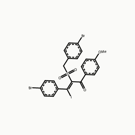 COc1ccc(C(=O)C(=C(I)c2ccc(Br)cc2)S(=O)(=O)Cc2ccc(Br)cc2)cc1